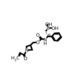 C=CC(=O)N1CC(COC(=O)N[C@H](CB(O)O)c2ccccc2)C1